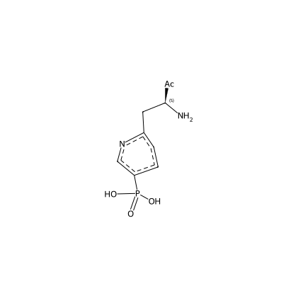 CC(=O)[C@@H](N)Cc1ccc(P(=O)(O)O)cn1